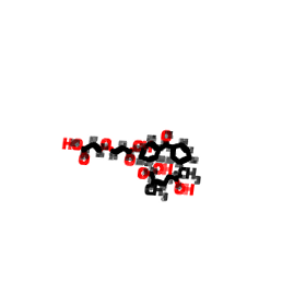 CC(=CCC(C)O)C(=O)O.O=C(O)C=COC=CC(=O)O.O=C(c1ccccc1)c1ccccc1